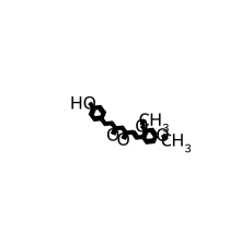 COc1ccc(C=CC(=O)CC(=O)CCc2ccc(O)cc2)c(OC)c1